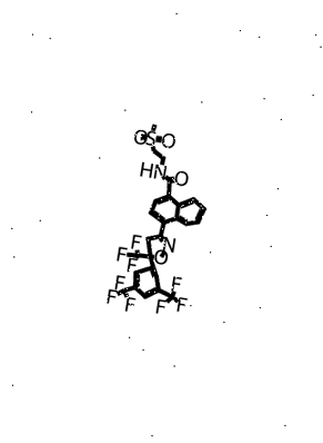 CS(=O)(=O)CCNC(=O)c1ccc(C2=NOC(c3cc(C(F)(F)F)cc(C(F)(F)F)c3)(C(F)(F)F)C2)c2ccccc12